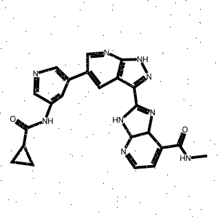 CNC(=O)C1=CC=NC2NC(c3n[nH]c4ncc(-c5cncc(NC(=O)C6CC6)c5)cc34)=NC12